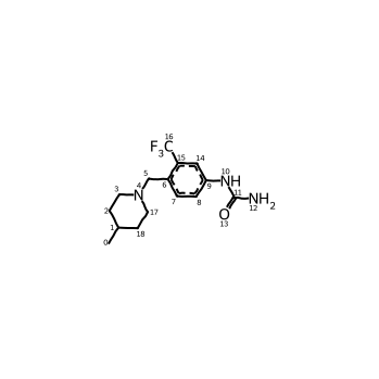 CC1CCN(Cc2ccc(NC(N)=O)cc2C(F)(F)F)CC1